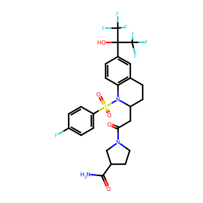 NC(=O)C1CCN(C(=O)CC2CCc3cc(C(O)(C(F)(F)F)C(F)(F)F)ccc3N2S(=O)(=O)c2ccc(F)cc2)C1